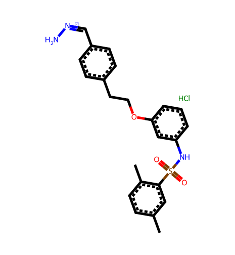 Cc1ccc(C)c(S(=O)(=O)Nc2cccc(OCCc3ccc(/C=N\N)cc3)c2)c1.Cl